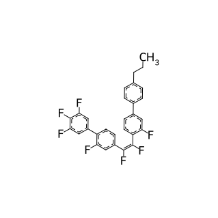 CCCc1ccc(-c2ccc(/C(F)=C(/F)c3ccc(-c4cc(F)c(F)c(F)c4)c(F)c3)c(F)c2)cc1